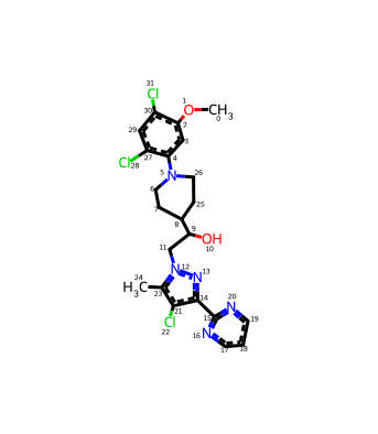 COc1cc(N2CCC(C(O)Cn3nc(-c4ncccn4)c(Cl)c3C)CC2)c(Cl)cc1Cl